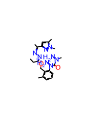 CC/C(=N\N=C(C)c1cc(C)n(C)n1)OCc1c(C)cccc1N(N)C(=O)N(C)N